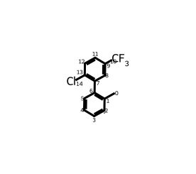 Cc1[c]cccc1-c1cc(C(F)(F)F)ccc1Cl